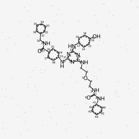 O=C(NCCOCCNc1nc(Nc2ccc(O)cc2)nc(Nc2ccc(C(=O)NCc3ccccc3)cc2)n1)Nc1ccccc1